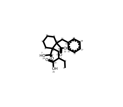 CCC(CC1(C(=O)O)CCCCC1(Cc1ccccc1)C(=O)O)C(=O)O